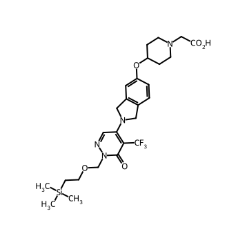 C[Si](C)(C)CCOCn1ncc(N2Cc3ccc(OC4CCN(CC(=O)O)CC4)cc3C2)c(C(F)(F)F)c1=O